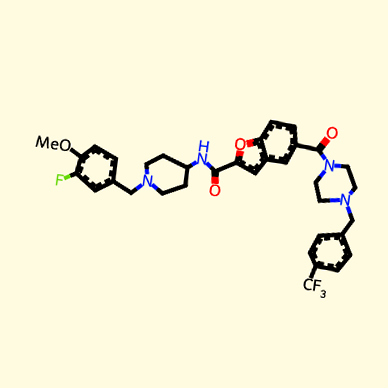 COc1ccc(CN2CCC(NC(=O)c3cc4cc(C(=O)N5CCN(Cc6ccc(C(F)(F)F)cc6)CC5)ccc4o3)CC2)cc1F